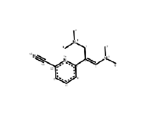 CN(C)/C=C(\CN(C)C)c1cccc(C#N)n1